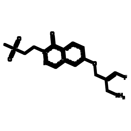 CS(=O)(=O)CCn1ncc2cc(OCC(=CF)CN)ccc2c1=O